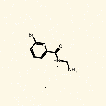 NCNC(=O)c1cccc(Br)c1